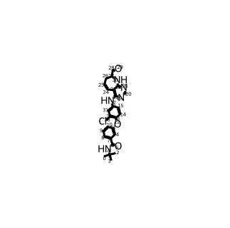 CC(C)(C)NC(=O)c1cccc(Oc2ccc(Nc3ncnc4c3C=CCC(C=O)N4)cc2Cl)c1